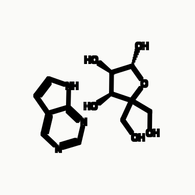 OCC1(CO)O[C@@H](O)[C@H](O)[C@@H]1O.c1ncc2cc[nH]c2n1